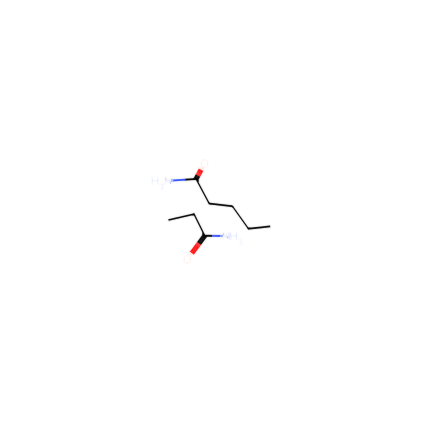 CCC(N)=O.CCCCC(N)=O